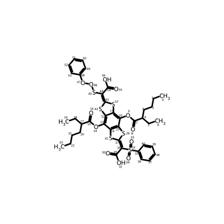 CCCCC(CC)C(=O)Oc1c2c(c(OC(=O)C(CC)CCCC)c3c1SC(=C(C(=O)O)S(=O)(=O)c1ccccc1)S3)SC(=C(SOOc1ccccc1)C(=O)O)S2